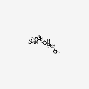 C=CC(=O)Nc1cc2c(Oc3ccc(NC(=O)NCCc4cccc(F)c4)cc3)ncnc2cc1OC